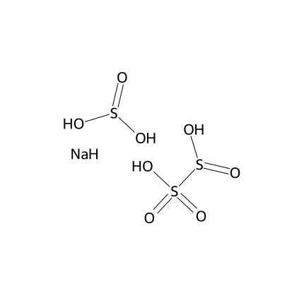 O=S(O)O.O=S(O)S(=O)(=O)O.[NaH]